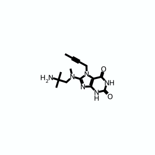 CC#CCn1c(N(C)CC(C)(C)N)nc2[nH]c(=O)[nH]c(=O)c21